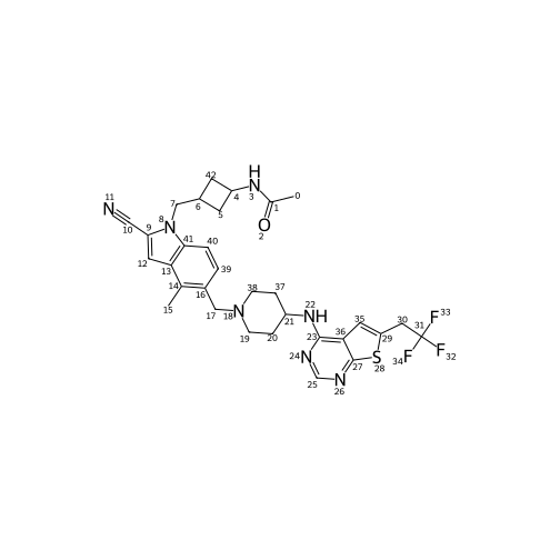 CC(=O)NC1CC(Cn2c(C#N)cc3c(C)c(CN4CCC(Nc5ncnc6sc(CC(F)(F)F)cc56)CC4)ccc32)C1